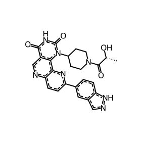 C[C@@H](O)C(=O)N1CCC(n2c(=O)[nH]c(=O)c3cnc4ccc(-c5ccc6[nH]ncc6c5)nc4c32)CC1